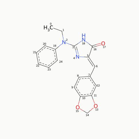 CCN(C1=N/C(=C\c2ccc3c(c2)OCO3)C(=O)N1)c1ccccc1